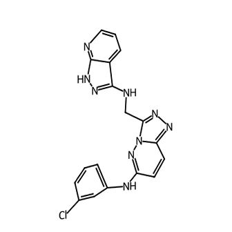 Clc1cccc(Nc2ccc3nnc(CNc4n[nH]c5ncccc45)n3n2)c1